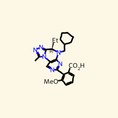 CC[C@@H]1c2nnc(C)n2-c2cnc(-c3c(OC)cccc3C(=O)O)nc2N1CC1CCCCC1